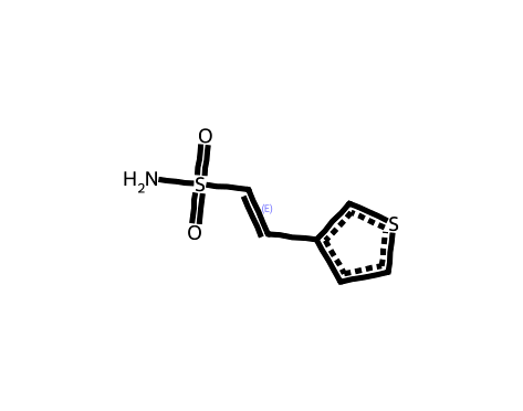 NS(=O)(=O)/C=C/c1ccsc1